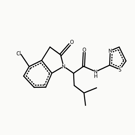 CC(C)CC(C(=O)Nc1nccs1)N1C(=O)Cc2c(Cl)cccc21